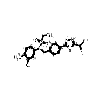 CCS(=O)(=O)N(Cc1ccc(-c2nnc(C(F)F)o2)cn1)c1ccc(C)c(Cl)c1